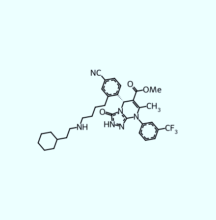 COC(=O)C1=C(C)N(c2cccc(C(F)(F)F)c2)c2n[nH]c(=O)n2[C@@H]1c1ccc(C#N)cc1CCCCNCCC1CCCCC1